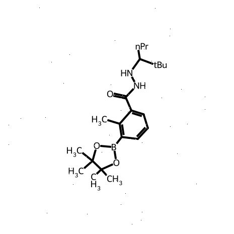 CCCC(NNC(=O)c1cccc(B2OC(C)(C)C(C)(C)O2)c1C)C(C)(C)C